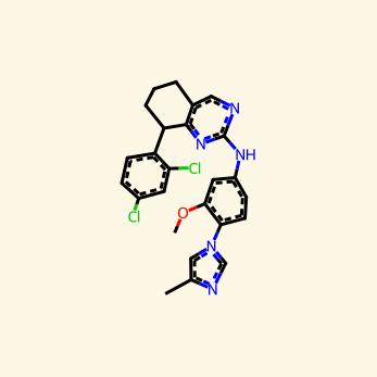 COc1cc(Nc2ncc3c(n2)C(c2ccc(Cl)cc2Cl)CCC3)ccc1-n1cnc(C)c1